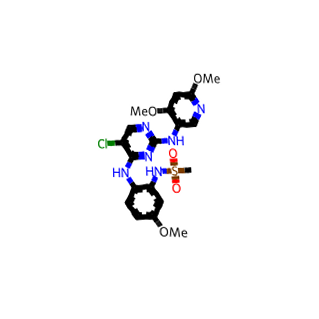 COc1ccc(Nc2nc(Nc3cnc(OC)cc3OC)ncc2Cl)c(NS(C)(=O)=O)c1